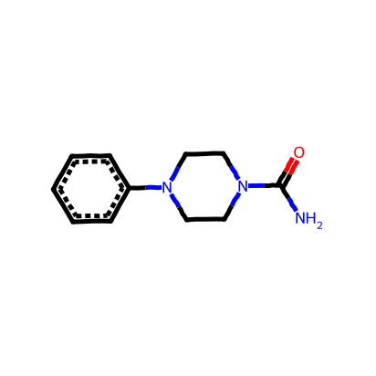 NC(=O)N1CCN(c2ccccc2)CC1